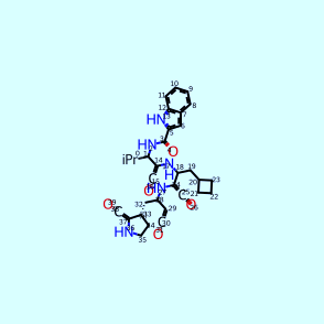 CC(C)C(NC(=O)c1cc2ccccc2[nH]1)C(=C=O)NC(CC1CCC1)C(=C=O)NC(C=C=O)C[C@@H]1CCNC1=C=O